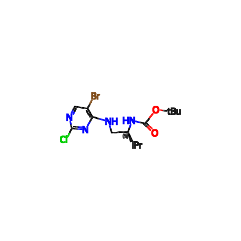 CC(C)[C@@H](CNc1nc(Cl)ncc1Br)NC(=O)OC(C)(C)C